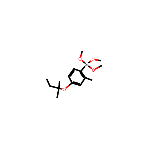 CCC(C)(C)Oc1ccc([Si](OC)(OC)OC)c(C)c1